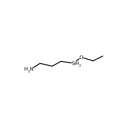 CCO[SiH2]CCCN